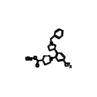 CC(C)(C)OC(=O)C1CCN(c2cc(C(F)(F)F)ccc2[C@H]2CCN(Cc3ccccc3)C2)CC1